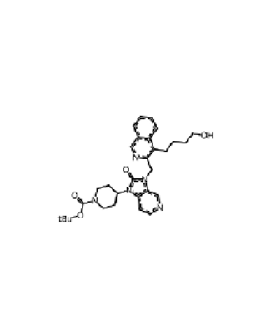 CC(C)(C)OC(=O)N1CCC(n2c(=O)n(Cc3ncc4ccccc4c3CCCCO)c3cnccc32)CC1